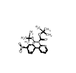 CC(C)(C)OC(=O)N(C(=O)OC(C)(C)C)c1ncccc1-c1ccc([N+](=O)[O-])cc1